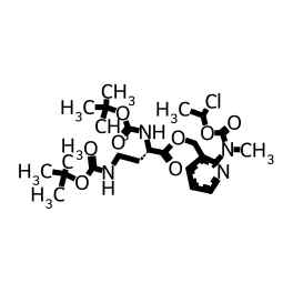 CC(Cl)OC(=O)N(C)c1ncccc1COC(=O)[C@H](CCNC(=O)OC(C)(C)C)NC(=O)OC(C)(C)C